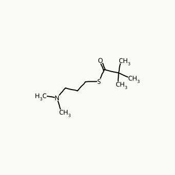 CN(C)CCCSC(=O)C(C)(C)C